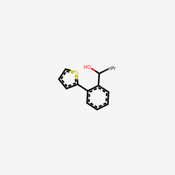 CCCC(O)c1ccccc1-c1cccs1